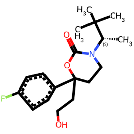 C[C@H](N1CCC(CCO)(c2ccc(F)cc2)OC1=O)C(C)(C)C